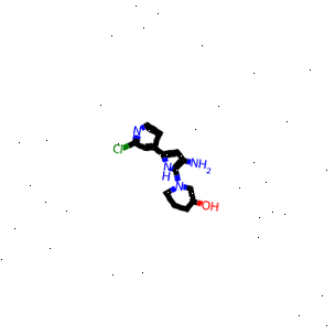 Nc1cc(-c2ccnc(Cl)c2)[nH]c1N1CCCC(O)C1